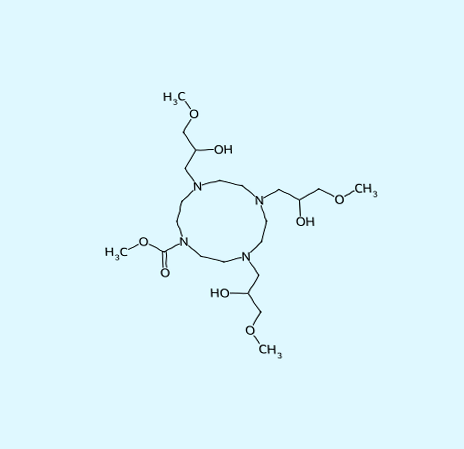 COCC(O)CN1CCN(CC(O)COC)CCN(C(=O)OC)CCN(CC(O)COC)CC1